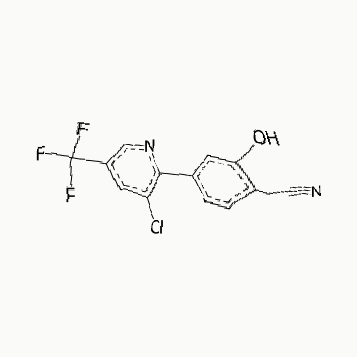 N#Cc1ccc(-c2ncc(C(F)(F)F)cc2Cl)cc1O